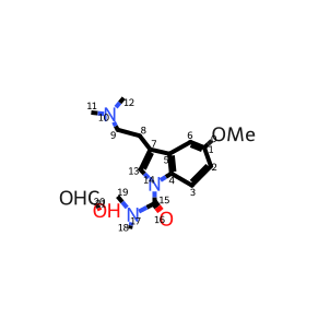 COc1ccc2c(c1)c(CCN(C)C)cn2C(=O)N(C)C.O=CO